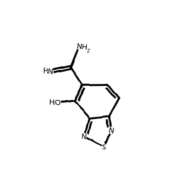 N=C(N)c1ccc2nsnc2c1O